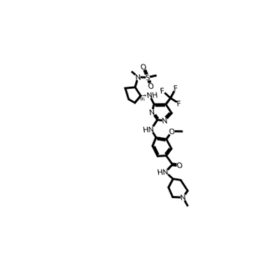 COc1cc(C(=O)NC2CCN(C)CC2)ccc1Nc1ncc(C(F)(F)F)c(N[C@@H]2CCCC2N(C)S(C)(=O)=O)n1